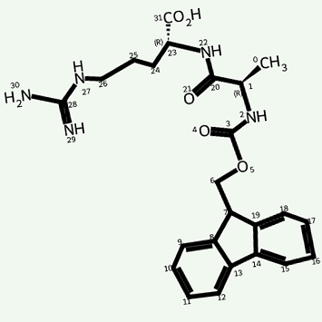 C[C@@H](NC(=O)OCC1c2ccccc2-c2ccccc21)C(=O)N[C@H](CCCNC(=N)N)C(=O)O